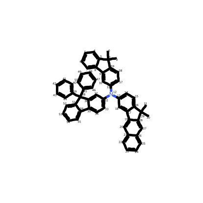 CC1(C)c2ccccc2-c2cc(N(c3ccc4c(c3)-c3cc5ccccc5cc3C4(C)C)c3ccc4c(c3)C(c3ccccc3)(c3ccccc3)c3ccccc3-4)ccc21